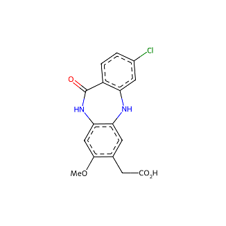 COc1cc2c(cc1CC(=O)O)Nc1cc(Cl)ccc1C(=O)N2